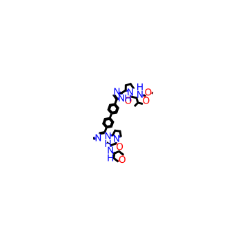 C=N/C=C(\NC1CCCN1C(=O)[C@H](C)NC1CCOCC1)c1ccc(-c2ccc(-c3cnc(C4CCCN4C(=O)[C@@H](NC(=O)OC)C(C)C)[nH]3)cc2)cc1